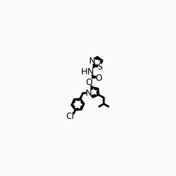 CC(C)Cc1cc(OC(=O)Nc2nccs2)n(Cc2ccc(Cl)cc2)c1